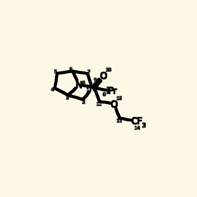 CC(C)N1CC2CCC(C1)N2C(=O)COCC(F)(F)F